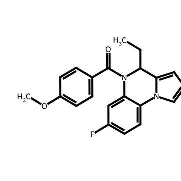 CCC1c2cccn2-c2ccc(F)cc2N1C(=O)c1ccc(OC)cc1